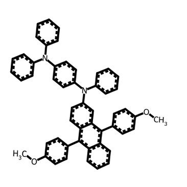 COc1ccc(-c2c3ccccc3c(-c3ccc(OC)cc3)c3cc(N(c4ccccc4)c4ccc(N(c5ccccc5)c5ccccc5)cc4)ccc23)cc1